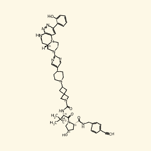 C#Cc1ccc(CNC(=O)[C@@H]2C[C@@H](O)CN2C(=O)[C@@H](NC(=O)N2CC3(CC(N4CCC(c5cnc(N6CCN7c8cc(-c9ccccc9O)nnc8NC[C@H]7C6)nc5)CC4)C3)C2)C(C)(C)C)cc1